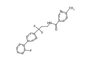 Cc1ccc(C(=O)NCCC(F)(F)c2ccc(-c3ccccc3F)cc2)cn1